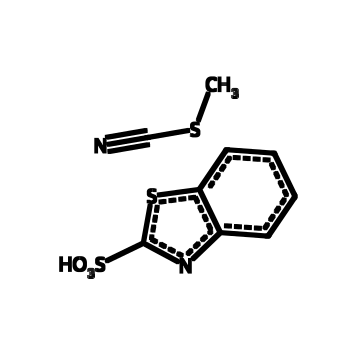 CSC#N.O=S(=O)(O)c1nc2ccccc2s1